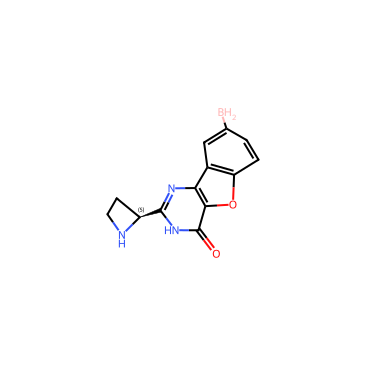 Bc1ccc2oc3c(=O)[nH]c([C@@H]4CCN4)nc3c2c1